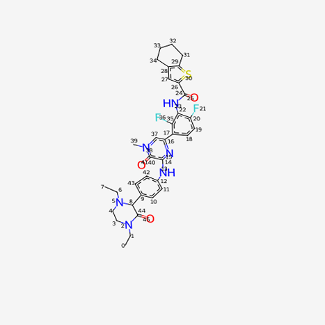 CCN1CCN(CC)C(c2ccc(Nc3nc(-c4ccc(F)c(NC(=O)c5cc6c(s5)CCCC6)c4F)cn(C)c3=O)cc2)C1=O